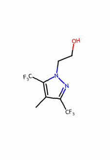 Cc1c(C(F)(F)F)nn(CCO)c1C(F)(F)F